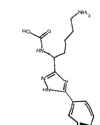 NCCCCC(NC(=O)O)c1n[nH]c(-c2ccccc2)n1